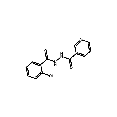 O=C(NNC(=O)c1ccccc1O)c1cccnc1